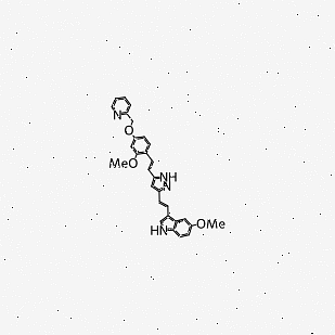 COc1ccc2[nH]cc(C=Cc3cc(C=Cc4ccc(OCc5ccccn5)cc4OC)[nH]n3)c2c1